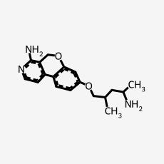 CC(N)CC(C)COc1ccc2c(c1)OCc1c-2ccnc1N